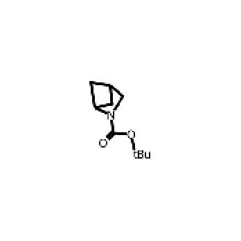 CC(C)(C)OC(=O)N1CC2CC1C2